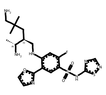 C[C@@H](N)[C@H](CNc1cc(F)c(S(=O)(=O)Nc2ncns2)cc1-c1ncco1)CC(C)(C)CN